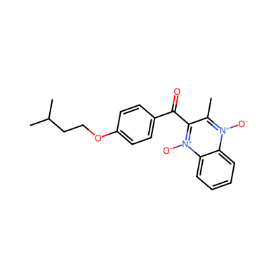 Cc1c(C(=O)c2ccc(OCCC(C)C)cc2)[n+]([O-])c2ccccc2[n+]1[O-]